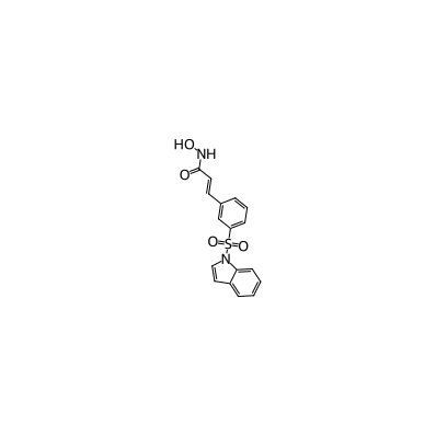 O=C(C=Cc1cccc(S(=O)(=O)n2ccc3ccccc32)c1)NO